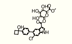 COC(=O)[C@H]1O[C@@H](OC(=O)c2c[nH]c3cc(Cl)c(-c4ccc(C5(O)CCC5)cc4)cc23)[C@H](O)[C@@H](O)[C@@H]1O